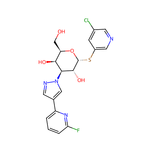 OC[C@H]1O[C@H](Sc2cncc(Cl)c2)[C@H](O)[C@@H](n2cc(-c3cccc(F)n3)cn2)[C@H]1O